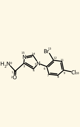 NC(=O)c1cn(-c2ccc(Cl)cc2Br)cn1